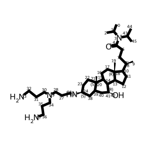 CC(C)N(C(=O)CC[C@@H](C)C1CCC2C3C(CC[C@@]21C)[C@@]1(C)CC[C@H](NCCCN(CCCN)CCCN)CC1C[C@H]3O)C(C)C